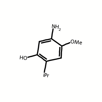 COc1cc(C(C)C)c(O)cc1N